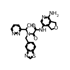 CC(c1cccnn1)N(Cc1ccc2scnc2c1)C(=O)C(=O)Nc1cnc(N)c2c1COC2